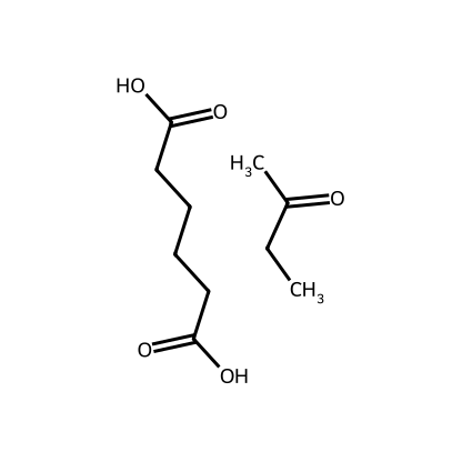 CCC(C)=O.O=C(O)CCCCC(=O)O